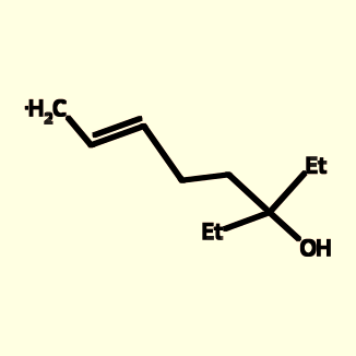 [CH2]C=CCCC(O)(CC)CC